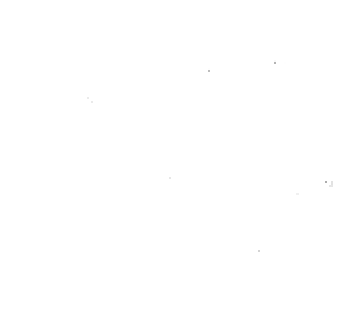 COc1cc(Cc2cnc(N)nc2N)cc(C#Cc2cc3[nH]cc(C(=O)O)c(=O)c3cc2C(C)(C)C)c1OC